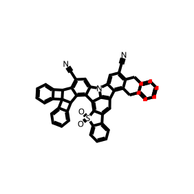 N#Cc1cc2c(c3c1C1c4ccccc4C3c3ccccc31)c1cc3c(c4c5c6c(c(C#N)cc5n2c14)C1c2ccccc2C12c1ccccc1C62)S(=O)(=O)c1ccccc1-3